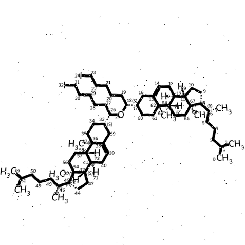 CC(C)CCC[C@@H](C)[C@H]1CC[C@H]2[C@@H]3CC=C4C[C@@H](C(CCCCCI)OC(CCCCCI)[C@H]5CC[C@@]6(C)C(=CC[C@H]7[C@@H]8CC[C@H]([C@H](C)CCCC(C)C)[C@@]8(C)CC[C@@H]76)C5)CC[C@]4(C)[C@H]3CC[C@]12C